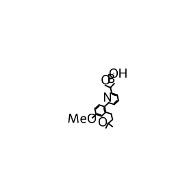 COc1ccc(-c2cccc(C3COB(O)C3)n2)c2c1OC(C)(C)CC2